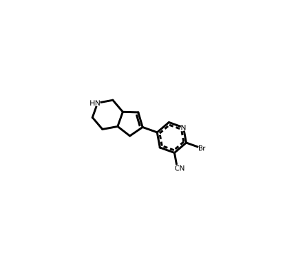 N#Cc1cc(C2=CC3CNCCC3C2)cnc1Br